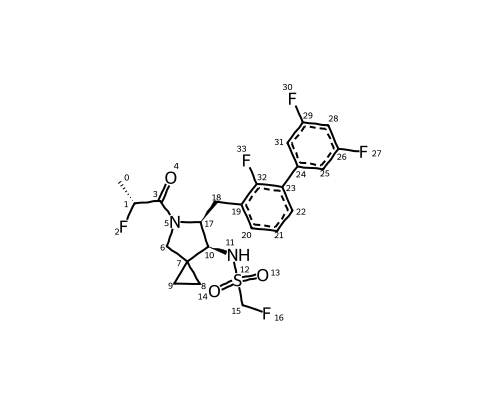 C[C@@H](F)C(=O)N1CC2(CC2)[C@H](NS(=O)(=O)CF)[C@@H]1Cc1cccc(-c2cc(F)cc(F)c2)c1F